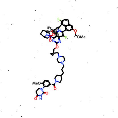 COCOc1cc(-c2ncc3c(N4CC5CCC(C4)N5C(=O)OC(C)(C)C)nc(OCC4(CN5CCN(CCCC6CCN(C(=O)c7ccc(OC)c(N8CCC(=O)NC8=O)c7)CC6)CC5)CC4)nc3c2F)c2c(C#C[Si](C(C)C)(C(C)C)C(C)C)c(F)ccc2c1